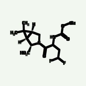 CC(C)(C)OC(=O)NC(CC(F)F)C(=O)N1C[C@H]2[C@@H]([C@H]1C(=O)O)C2(C)C